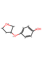 Oc1ccc(OC2CCOC2)cc1